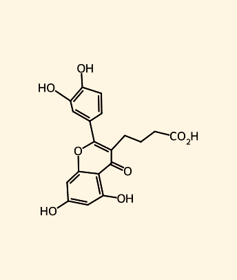 O=C(O)CCCc1c(-c2ccc(O)c(O)c2)oc2cc(O)cc(O)c2c1=O